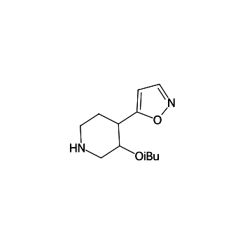 CC(C)COC1CNCCC1c1ccno1